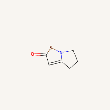 O=c1cc2n(s1)CCC2